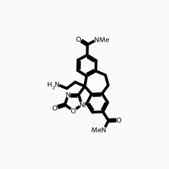 CNC(=O)c1ccc2c(c1)CCc1cc(C(=O)NC)ccc1C2(CCN)c1nc(=O)o[nH]1